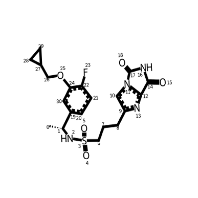 C[C@@H](NS(=O)(=O)CCCc1cn2c(n1)C(=O)NC2=O)c1ccc(F)c(OCC2CC2)c1